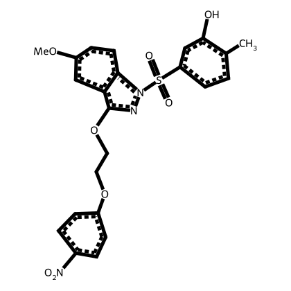 COc1ccc2c(c1)c(OCCOc1ccc([N+](=O)[O-])cc1)nn2S(=O)(=O)c1ccc(C)c(O)c1